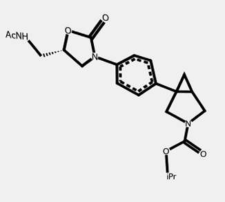 CC(=O)NC[C@H]1CN(c2ccc(C34CC3CN(C(=O)OC(C)C)C4)cc2)C(=O)O1